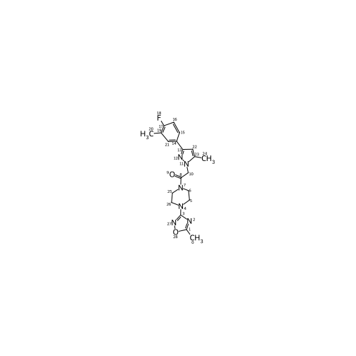 Cc1nc(N2CCN(C(=O)Cn3nc(-c4ccc(F)c(C)c4)cc3C)CC2)no1